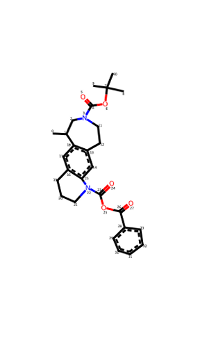 CC1CN(C(=O)OC(C)(C)C)CCc2cc3c(cc21)CCCN3C(=O)OC(=O)c1ccccc1